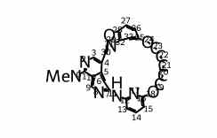 CNc1ncc2c3cc(ncc13)Nc1cccc(n1)OCCCCCOc1ccc3oc-2nc3c1